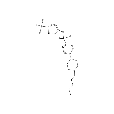 CCCCC[C@H]1CC[C@H](c2ccc(C(F)(F)Oc3ccc(C(F)(F)F)cc3)cc2)CC1